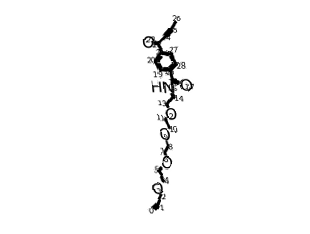 C#CCOCCOCCOCCOCCNC(=O)c1ccc(C(=O)C#CC)cc1